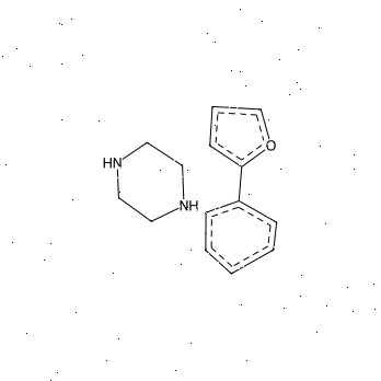 C1CNCCN1.c1ccc(-c2ccco2)cc1